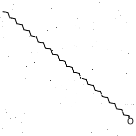 CCCCCCCCCCCCCCCCCCCCCCCCCCCCCCCCCCCC=O